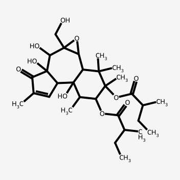 CCC(C)C(=O)OC1C(C)C2(O)C3C=C(C)C(=O)C3(O)C(O)C3(CO)OC3C2C(C)(C)C1(C)OC(=O)C(C)CC